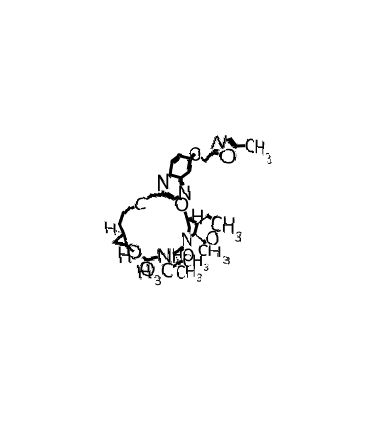 CC[C@@H]1[C@@H]2CN(C(=O)[C@H](C(C)(C)C)NC(=O)O[C@@H]3C[C@H]3CCCCCc3nc4ccc(OCc5ncc(C)o5)cc4nc3O2)[C@@H]1C(C)=O